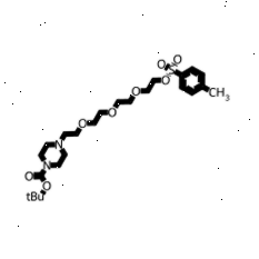 Cc1ccc(S(=O)(=O)OCCOCCOCCOCCN2CCN(C(=O)OC(C)(C)C)CC2)cc1